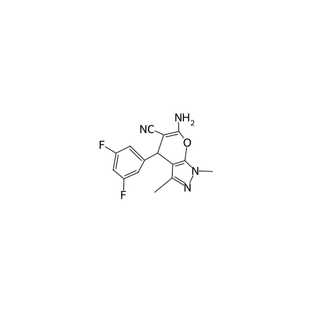 Cc1nn(C)c2c1C(c1cc(F)cc(F)c1)C(C#N)=C(N)O2